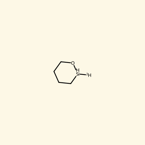 [2H][SiH]1CCCCO1